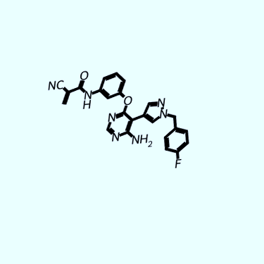 C=C(C#N)C(=O)Nc1cccc(Oc2ncnc(N)c2-c2cnn(Cc3ccc(F)cc3)c2)c1